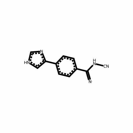 [N]=C(NC#N)c1ccc(-c2c[nH]cn2)cc1